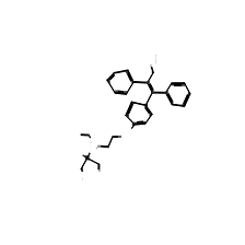 CC/C(=C(\c1ccccc1)c1ccc(OCCN(CF)C(C)(CC)CC)cc1)c1ccccc1